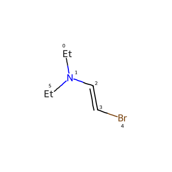 CCN(/C=C/Br)CC